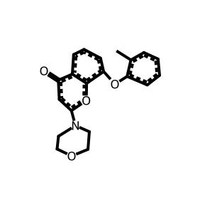 Cc1ccccc1Oc1cccc2c(=O)cc(N3CCOCC3)oc12